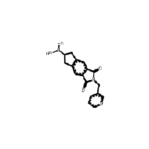 CCCN(CCC)C1Cc2cc3c(cc2C1)C(=O)N(Cc1cccnc1)C3=O